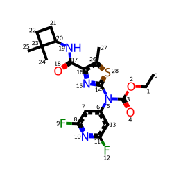 CCOC(=O)N(c1cc(F)nc(F)c1)c1nc(C(=O)NC2CCC2(C)C)c(C)s1